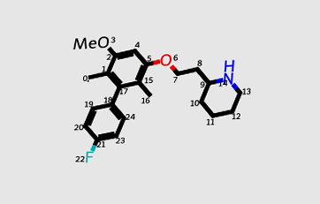 [CH2]c1c(OC)cc(OCCC2CCCCN2)c(C)c1-c1ccc(F)cc1